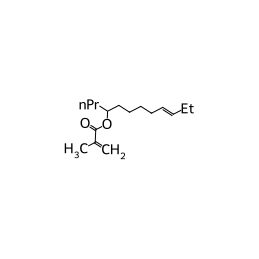 C=C(C)C(=O)OC(CCC)CCCC/C=C/CC